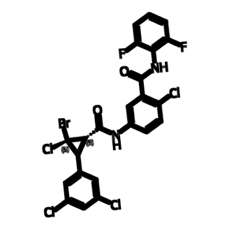 O=C(Nc1c(F)cccc1F)c1cc(NC(=O)[C@@H]2C(c3cc(Cl)cc(Cl)c3)[C@]2(Cl)Br)ccc1Cl